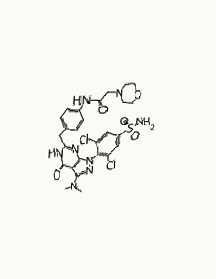 CN(C)c1nn(-c2c(Cl)cc(S(N)(=O)=O)cc2Cl)c2nc(Cc3ccc(NC(=O)CN4CCOCC4)cc3)[nH]c(=O)c12